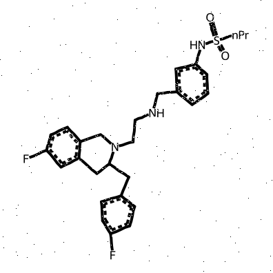 CCCS(=O)(=O)Nc1cccc(CNCCN2Cc3ccc(F)cc3CC2Cc2ccc(F)cc2)c1